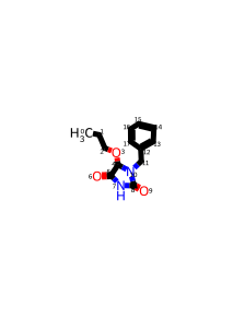 CCCOC1C(=O)NC(=O)N1Cc1ccccc1